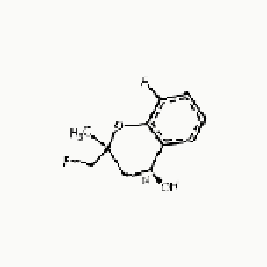 CC1(CF)C[C@H](O)c2cccc(F)c2O1